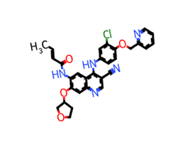 CC=CC(=O)Nc1cc2c(Nc3ccc(OCc4ccccn4)c(Cl)c3)c(C#N)cnc2cc1OC1CCOC1